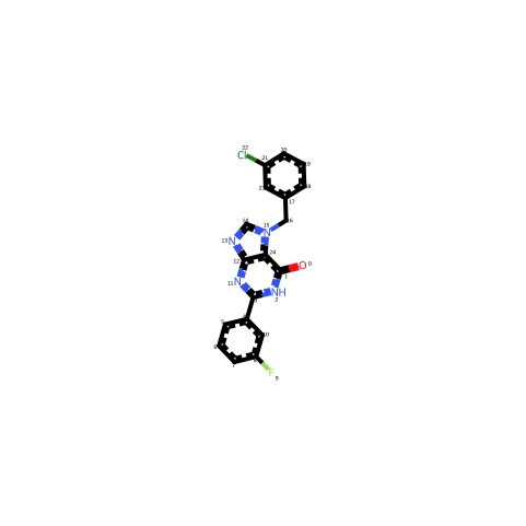 O=c1[nH]c(-c2cccc(F)c2)nc2ncn(Cc3cccc(Cl)c3)c12